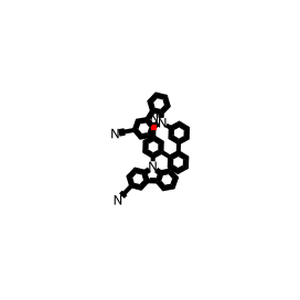 N#Cc1ccc(-n2c3ccccc3c3cc(C#N)ccc32)c(-c2ccccc2-c2cccc(-n3c4ccccc4c4cc(C#N)ccc43)c2)c1